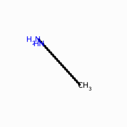 CCCCCCCCCCCCCCCCCCCCCCCCCCCCCCCCCCCCCCCNCCCN